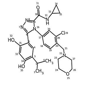 CC(C)c1cc(-c2nnc(C(=O)NC3CC3)n2-c2ccc(CN3CCOCC3)c(Cl)c2)c(O)cc1O